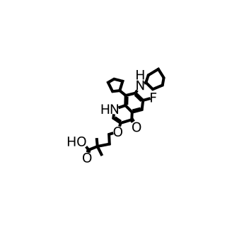 CC(C)(CCOc1c[nH]c2c(C3CCCC3)c(NC3CCCCC3)c(F)cc2c1=O)C(=O)O